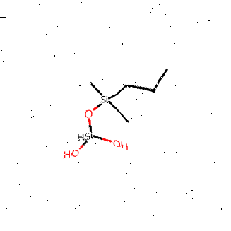 CCC[Si](C)(C)O[SiH](O)O